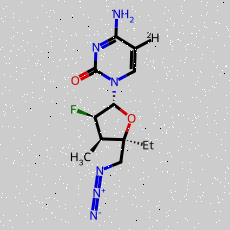 [2H]c1cn([C@@H]2O[C@@](CC)(CN=[N+]=[N-])[C@@H](C)[C@H]2F)c(=O)nc1N